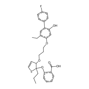 CCCC1(Oc2ccccc2C(=O)O)SC=CC1OCCCOc1cc(O)c(-c2ccc(F)cc2)cc1CC